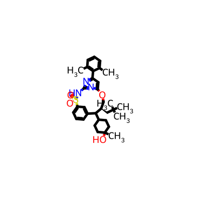 Cc1cccc(C)c1-c1cc2nc(n1)NS(=O)(=O)c1cccc(c1)C(C1CCC(C)(O)CC1)[C@H](CC(C)(C)C)CO2